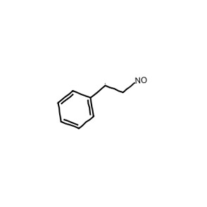 O=NC[CH]c1ccccc1